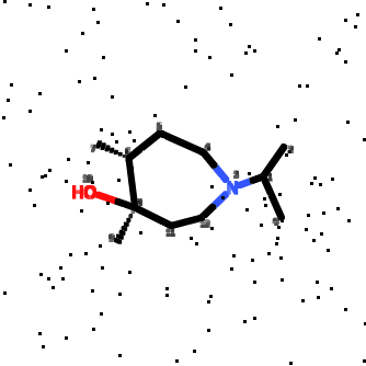 CC(C)N1CC[C@@H](C)[C@](C)(O)CC1